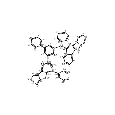 C1=CC2Sc3c(c4c5ccccc5n(-c5cc(-c6ccccc6)cc(-c6nc(-c7ccccc7)c7sc8ccccc8c7n6)c5)c4c4ccccc34)C2C=C1